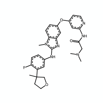 CN(C)CC(=O)Nc1cc(Oc2ccc3c(c2)nc(Nc2ccc(F)c(C4(C)CCOC4)c2)n3C)ccn1